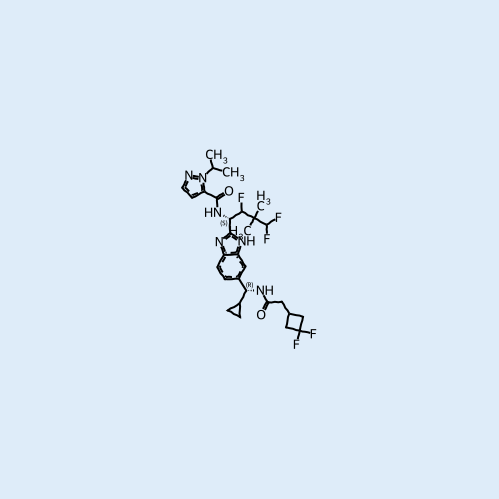 CC(C)n1nccc1C(=O)N[C@@H](c1nc2ccc([C@H](NC(=O)CC3CC(F)(F)C3)C3CC3)cc2[nH]1)C(F)C(C)(C)C(F)F